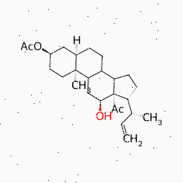 C=C[C@@H](C)[C@H]1CCC2C3CC[C@@H]4C[C@H](OC(C)=O)CC[C@]4(C)C3C[C@H](O)[C@@]21C(C)=O